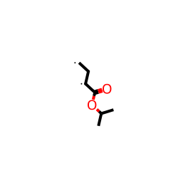 [CH2]C[CH]C(=O)OC(C)C